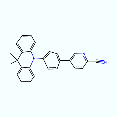 CC1(C)c2ccccc2N(c2ccc(-c3ccc(C#N)nc3)cc2)c2ccccc21